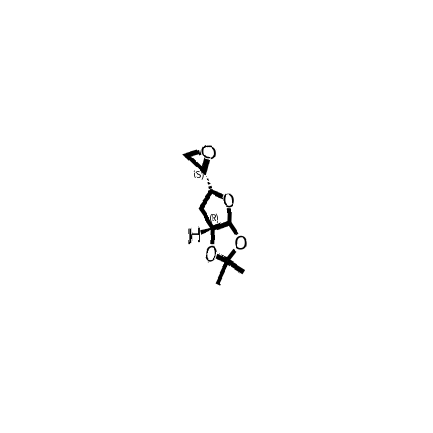 CC1(C)OC2OC([C@@H]3CO3)C[C@H]2O1